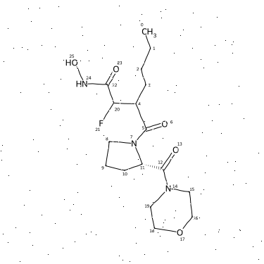 CCCCC(C(=O)N1CCC[C@H]1C(=O)N1CCOCC1)C(F)C(=O)NO